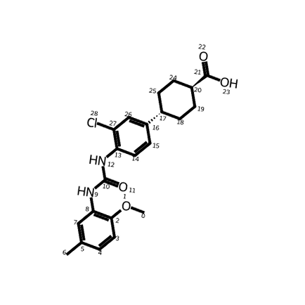 COc1ccc(C)cc1NC(=O)Nc1ccc([C@H]2CC[C@H](C(=O)O)CC2)cc1Cl